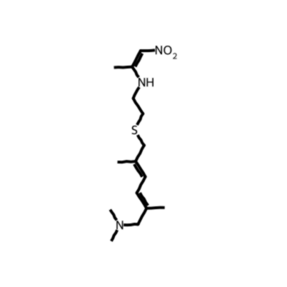 C/C(=C/[N+](=O)[O-])NCCSC/C(C)=C/C=C(\C)CN(C)C